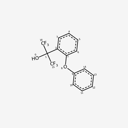 OC(c1ccccc1Oc1ccccc1)(C(F)(F)F)C(F)(F)F